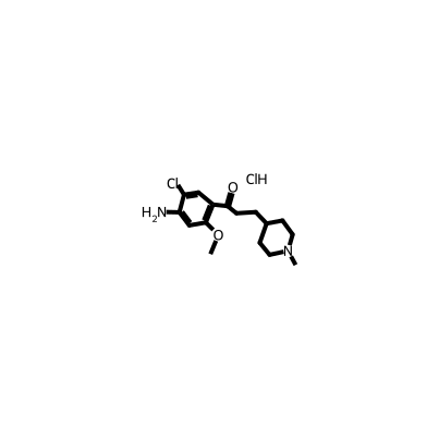 COc1cc(N)c(Cl)cc1C(=O)CCC1CCN(C)CC1.Cl